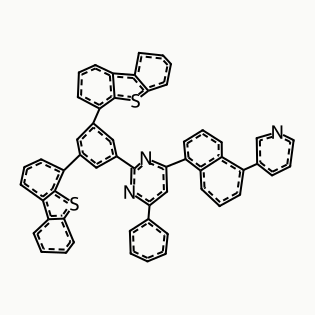 c1ccc(-c2cc(-c3cccc4c(-c5cccnc5)cccc34)nc(-c3cc(-c4cccc5c4sc4ccccc45)cc(-c4cccc5c4sc4ccccc45)c3)n2)cc1